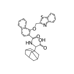 O=C(NC(C(=O)O)C12CC3CC(CC(C3)C1)C2)c1ccc2ccccc2c1OCc1nc2ccccc2s1